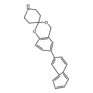 c1ccc2cc(-c3ccc4c(c3)COC3(CCNCC3)O4)ccc2c1